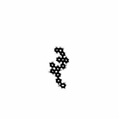 C1=CC2Sc3ccc(-c4ccc(-c5cc(-c6cccc(-c7c8ccccc8c(-c8ccc9ccc%10ccccc%10c9c8)c8ccccc78)c6)cc(-c6ccccc6)c5-c5ccccc5)cc4)cc3C2C=C1